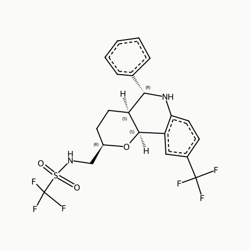 O=S(=O)(NC[C@H]1CC[C@@H]2[C@H](O1)c1cc(C(F)(F)F)ccc1N[C@H]2c1ccccc1)C(F)(F)F